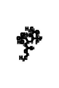 CCOC(=S)SC(CC(NC(C)=O)C(F)(F)F)CP(=O)(O)O